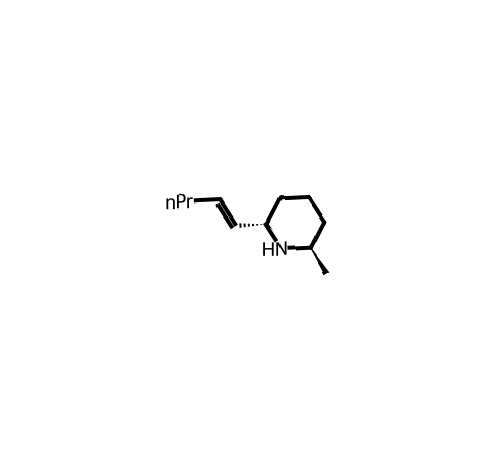 CCC/C=C/[C@@H]1CCC[C@@H](C)N1